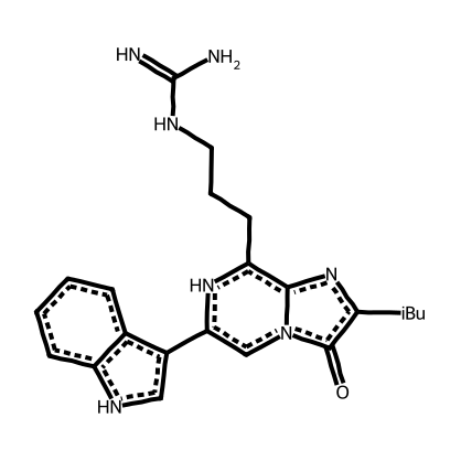 CCC(C)c1nc2c(CCCNC(=N)N)[nH]c(-c3c[nH]c4ccccc34)cn-2c1=O